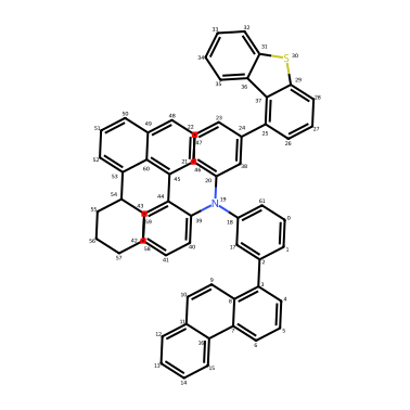 c1cc(-c2cccc3c2ccc2ccccc23)cc(N(c2cccc(-c3cccc4sc5ccccc5c34)c2)c2ccccc2-c2cccc3cccc(C4CCCCC4)c23)c1